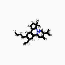 C=C(C)C1=CN2C(=CC1=C)c1cc(CC)c(CCCC)cc1C1CCC(C)(C)C12